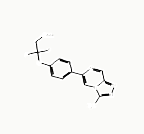 COCC(F)(F)Oc1ccc(-c2cn3c(C(F)(F)F)nnc3cn2)cc1